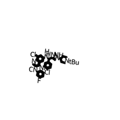 CC(C)(C)N1CCC(N2C=C([C@@H](Nc3cc(Cl)c4ncc(C#N)c(Nc5ccc(F)cc5)c4c3)c3ccc(Cl)cc3)NN2)CC1